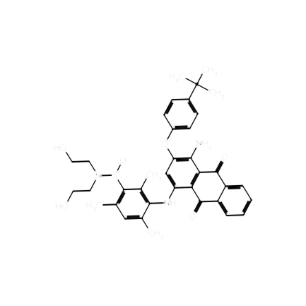 Cc1cc(C)c([S+]([O-])N(CCO)CCO)c(C)c1Nc1cc(Oc2ccc(C(C)(C)C)cc2)c(N)c2c1C(=O)c1ccccc1C2=O